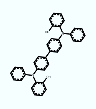 Oc1ccccc1N(c1ccccc1)c1ccc(-c2ccc(N(c3ccccc3)c3ccccc3O)cc2)cc1